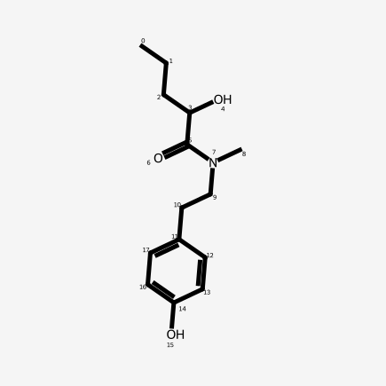 CCCC(O)C(=O)N(C)CCc1ccc(O)cc1